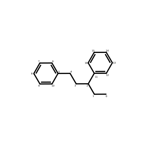 CCC(CCc1cc[c]cc1)c1ccccc1